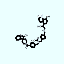 CC(=O)N(Cc1ccc(CNCC(O)c2ccc(O)c3[nH]c(=O)ccc23)cc1)Cc1ccc(C(=O)N2CCC(C(=O)O)(c3ccccc3)CC2)cc1